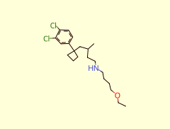 CCOCCCCNCCC(C)CC1(c2ccc(Cl)c(Cl)c2)CCC1